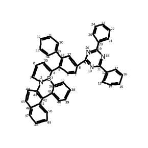 C1=CN2B(C(c3ccc(-c4nc(-c5ccccc5)nc(-c5ccccc5)n4)cc3-c3ccccc3)=C1)c1ccccc1-c1c2ccc2ccccc12